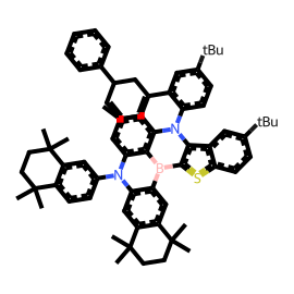 Cc1cc2c3c(c1)N(c1ccc(C(C)(C)C)cc1C1=CC=CC(c4ccccc4)C1)c1c(sc4ccc(C(C)(C)C)cc14)B3c1cc3c(cc1N2c1ccc2c(c1)C(C)(C)CCC2(C)C)C(C)(C)CCC3(C)C